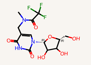 CN(Cc1cn([C@@H]2O[C@H](CO)C(O)C2O)c(=O)[nH]c1=O)C(=O)C(F)(F)F